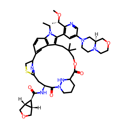 CCn1c(-c2cc(N3CCN4CCOC[C@@H]4C3)cnc2[C@H](C)OC)c2c3cc(ccc31)C1CSC(=N1)C[C@H](NC(=O)[C@H]1[C@@H]3COC[C@@H]31)C(=O)N1CCC[C@@](C)(N1)C(=O)OCC(C)(C)C2